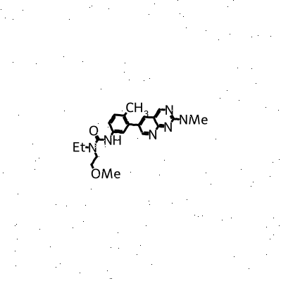 CCN(CCOC)C(=O)Nc1ccc(C)c(-c2cnc3nc(NC)ncc3c2)c1